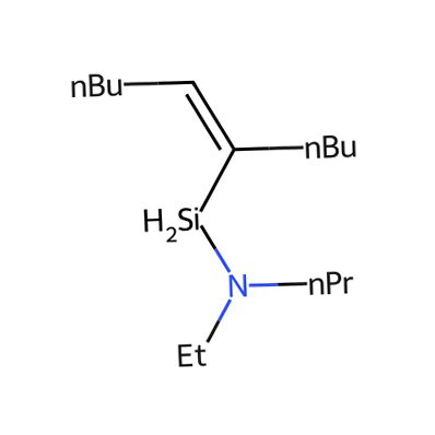 CCCCC=C(CCCC)[SiH2]N(CC)CCC